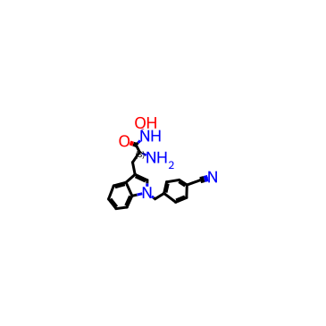 N#Cc1ccc(Cn2cc(C[C@H](N)C(=O)NO)c3ccccc32)cc1